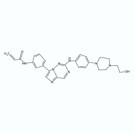 C=CC(=O)Nc1cccc(-c2cnc3cnc(Nc4ccc(N5CCN(CCO)CC5)cc4)nn23)c1